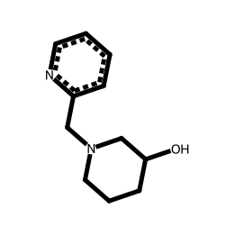 OC1CCCN(Cc2ccccn2)C1